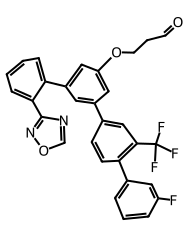 O=CCCOc1cc(-c2ccc(-c3cccc(F)c3)c(C(F)(F)F)c2)cc(-c2ccccc2-c2ncon2)c1